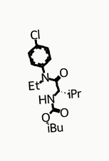 CCC(C)OC(=O)N[C@H](C(=O)N(CC)c1ccc(Cl)cc1)C(C)C